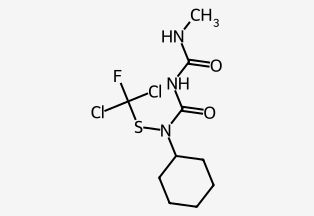 CNC(=O)NC(=O)N(SC(F)(Cl)Cl)C1CCCCC1